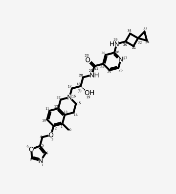 Cc1c(OCc2cnco2)ccc2c1CCN(C[C@@H](O)CNC(=O)c1ccnc(NC3CC4(CC4)C3)c1)C2